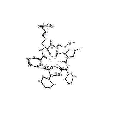 COC(=O)/C=C/CC[C@H](NC(=O)c1cnccc1C(=O)O)C(=O)N[C@@H](CCSC)C(=O)N1CC(=O)C[C@H]1C(=O)N[C@H](C(=O)N[C@H](C(N)=O)C1CCCCC1)C1CCCCC1